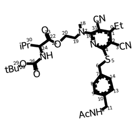 CCc1c(C#N)c(SCc2ccc(CNC(C)=O)cc2)nc(N(C)CCOC(=O)C(NC(=O)OC(C)(C)C)C(C)C)c1C#N